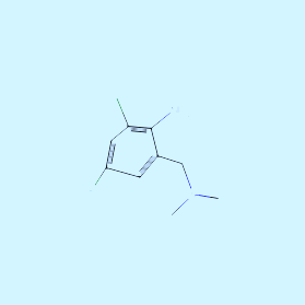 CN(C)Cc1cc(Br)cc(F)c1N